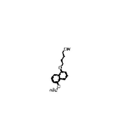 CCCCOc1cccc2c(OCCCCO)cccc12